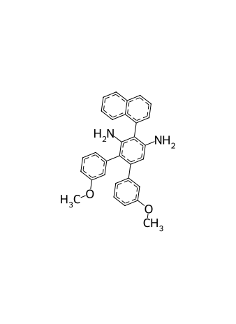 COc1cccc(-c2cc(N)c(-c3cccc4ccccc34)c(N)c2-c2cccc(OC)c2)c1